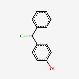 Oc1ccc(C(Cl)c2ccccc2)cc1